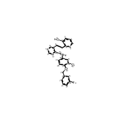 Oc1cccnc1C=Cc1cncnc1Nc1ccc(OCc2cccc(F)c2)c(Cl)c1